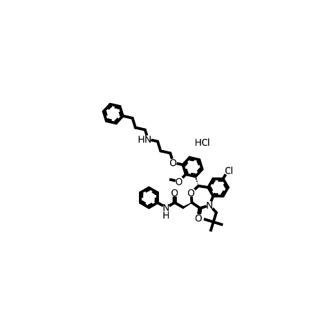 COc1c(OCCCNCCCc2ccccc2)cccc1[C@H]1O[C@H](CC(=O)Nc2ccccc2)C(=O)N(CC(C)(C)C)c2ccc(Cl)cc21.Cl